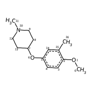 COc1ccc(OC2CCN(C)CC2)cc1C